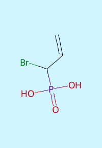 C=CC(Br)P(=O)(O)O